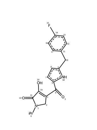 CC(C)N1CC(C(=O)c2ccc(Cc3ccc(F)cc3)[nH]2)=C(O)C1=O